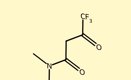 CN(C)C(=O)CC(=O)C(F)(F)F